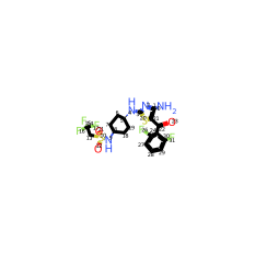 Nc1nc(N[C@H]2CC[C@H](NS(=O)(=O)CC(F)(F)F)CC2)sc1C(=O)c1c(F)cccc1F